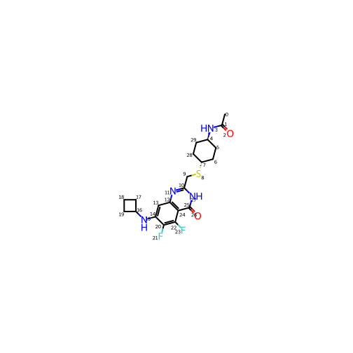 CC(=O)N[C@H]1CC[C@H](SCc2nc3cc(NC4CCC4)c(F)c(F)c3c(=O)[nH]2)CC1